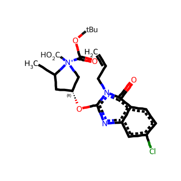 C=CCn1c(O[C@@H]2CC(C)[N+](C(=O)O)(C(=O)OC(C)(C)C)C2)nc2cc(Cl)ccc2c1=O